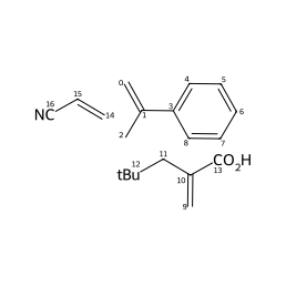 C=C(C)c1ccccc1.C=C(CC(C)(C)C)C(=O)O.C=CC#N